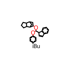 CCC(C)c1ccc(OC(OC2CC3CC2C2CCCC32)C2C=Cc3ccccc32)cc1